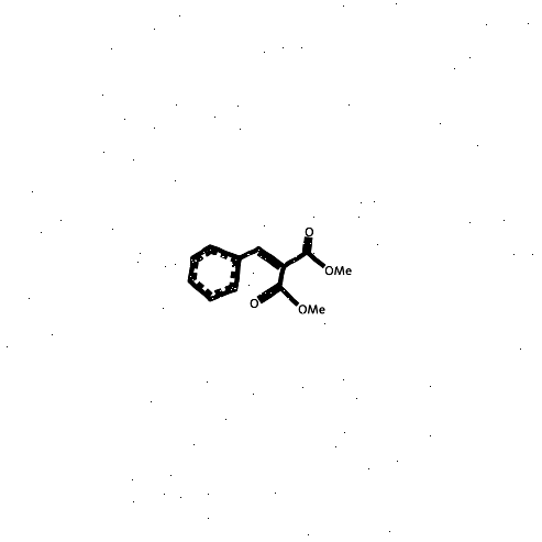 COC(=O)C(=Cc1ccccc1)C(=O)OC